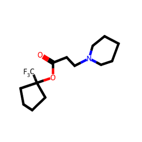 O=C(CCN1CCCCC1)OC1(C(F)(F)F)CCCC1